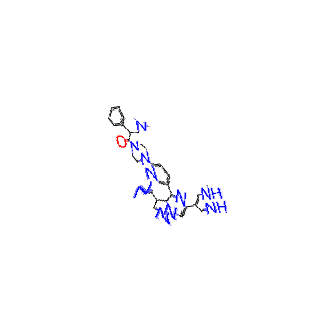 CN/C=C(\C=N)C1=CN2N=CC(C#N)C2C(c2ccc(N3CCN(C(=O)C(CN(C)C)c4ccccc4)CC3)nc2)=N1